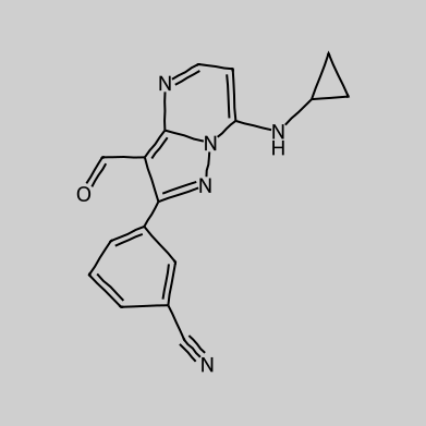 N#Cc1cccc(-c2nn3c(NC4CC4)ccnc3c2C=O)c1